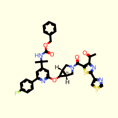 CC(=O)c1nc(-c2cscn2)sc1C(=O)N1C[C@@H]2C(Oc3cc(C(C)(C)NC(=O)OCc4ccccc4)cc(-c4ccc(F)cc4)n3)[C@@H]2C1